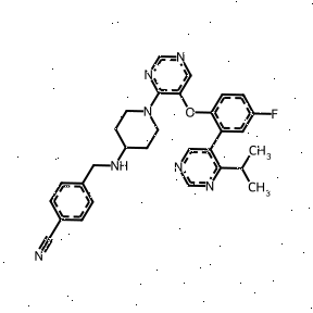 CC(C)c1ncncc1-c1cc(F)ccc1Oc1cncnc1N1CCC(NCc2ccc(C#N)cc2)CC1